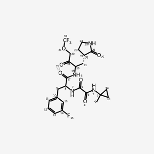 CC1(NC(=O)C(=O)NC(Cc2cccc(F)c2)C(=O)NC(C[C@@H]2CCNC2=O)C(=O)COC(F)(F)F)CC1